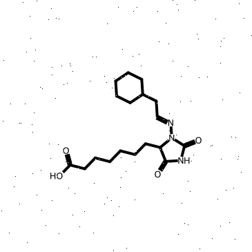 O=C(O)CCCCCCC1C(=O)NC(=O)N1/N=C/CC1CCCCC1